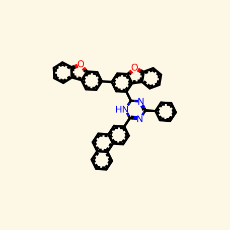 c1ccc(C2=NC(c3cc(-c4ccc5c(c4)oc4ccccc45)cc4oc5ccccc5c34)NC(c3ccc4c(ccc5ccccc54)c3)=N2)cc1